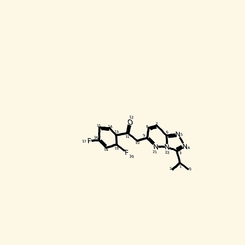 CC(C)c1nnc2ccc(CC(=O)C3C=CC(F)=CC3F)nn12